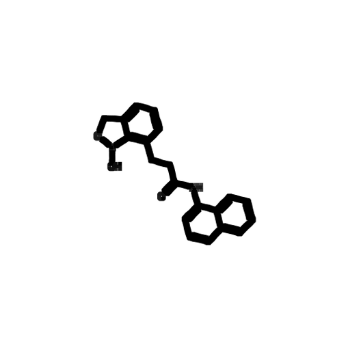 O=C(CCc1cccc2c1B(O)OC2)Nc1cccc2ccccc12